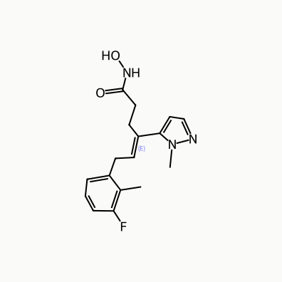 Cc1c(F)cccc1C/C=C(\CCC(=O)NO)c1ccnn1C